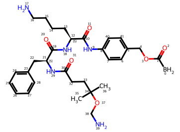 BC(=O)OCc1ccc(NC(=O)[C@H](CCCCN)NC(=O)[C@H](Cc2ccccc2)NC(=O)CCC(C)(C)OCN)cc1